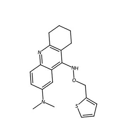 CN(C)c1ccc2nc3c(c(NOCc4cccs4)c2c1)CCCC3